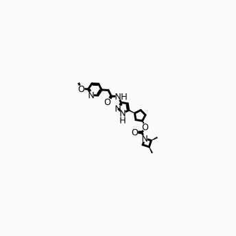 COc1ccc(CC(=O)Nc2cc([C@H]3CC[C@@H](OC(=O)N4C[C@H](C)[C@@H]4C)C3)[nH]n2)cn1